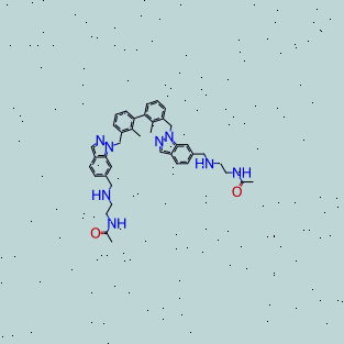 CC(=O)NCCNCc1ccc2cnn(Cc3cccc(-c4cccc(Cn5ncc6ccc(CNCCNC(C)=O)cc65)c4C)c3C)c2c1